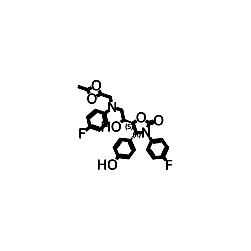 CC1OC(CN(CC(O)[C@H]2OC(=O)N(c3ccc(F)cc3)[C@@H]2c2ccc(O)cc2)c2ccc(F)cc2)O1